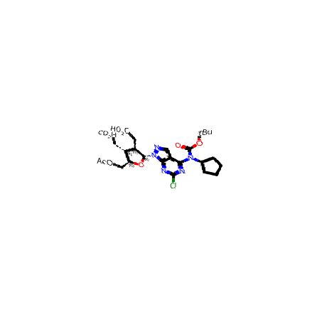 CC(=O)OC[C@@H]1O[C@@H](n2ncc3c(N(C(=O)OC(C)(C)C)C4CCCC4)nc(Cl)nc32)[C@H](CC(=O)O)[C@H]1CC(=O)O